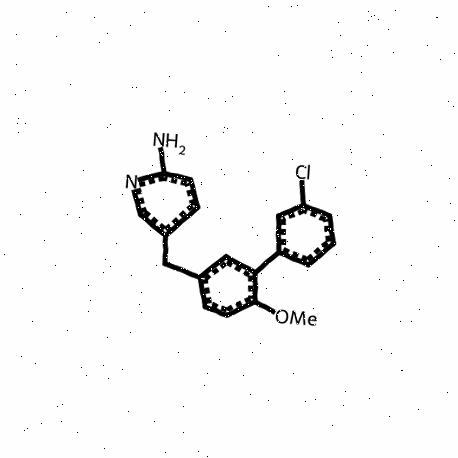 COc1ccc(Cc2ccc(N)nc2)cc1-c1cccc(Cl)c1